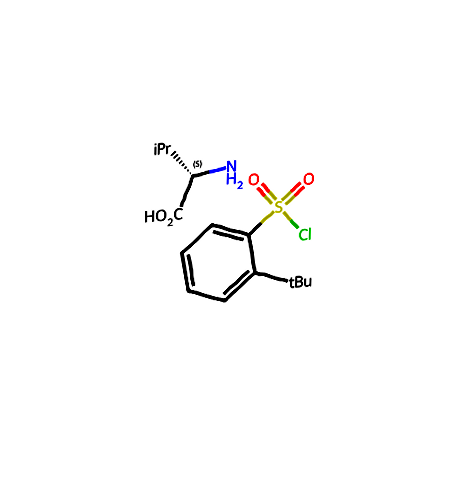 CC(C)(C)c1ccccc1S(=O)(=O)Cl.CC(C)[C@H](N)C(=O)O